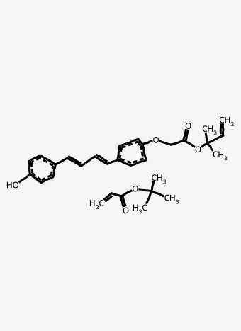 C=CC(=O)OC(C)(C)C.C=CC(C)(C)OC(=O)COc1ccc(C=CC=Cc2ccc(O)cc2)cc1